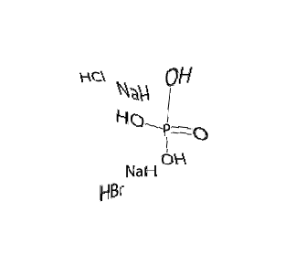 Br.Cl.O=P(O)(O)O.[NaH].[NaH]